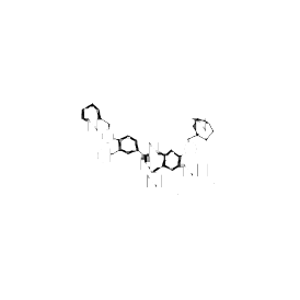 CN1C2CCC1(COc1cc3nc(-c4ccc(OCc5ccccn5)c(Cl)c4)nc(N)c3cc1N)CC2